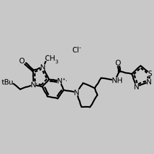 Cn1c2c(n(CC(C)(C)C)c1=O)=CC=C(N1CCCC(CNC(=O)c3csnn3)C1)[N+]=2.[Cl-]